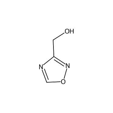 OCc1ncon1